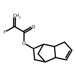 C=C(F)C(=O)OC1CC2CC1C1CC=CC21